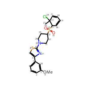 COc1cccc(-c2csc(N3CCC(S(=O)(=O)C4C=CC=CC4(C)Cl)CC3)n2)c1